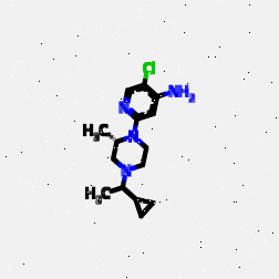 CC(C1CC1)N1CCN(c2cc(N)c(Cl)cn2)[C@@H](C)C1